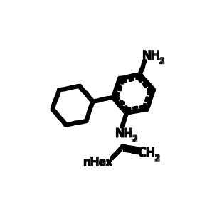 C=CCCCCCC.Nc1ccc(N)c(C2CCCCC2)c1